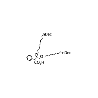 CCCCCCCCCCCCCCCCCCOCC(OCCCCCCCCCCCCCCCCCC)C(C(=O)O)c1ccccc1